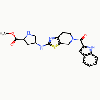 COC(=O)[C@@H]1C[C@H](Nc2nc3c(s2)CN(C(=O)c2cc4ccccc4[nH]2)CC3)CN1